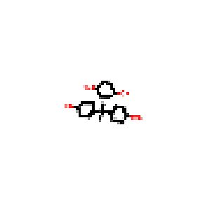 CC(C)(c1ccc(O)cc1)c1ccc(O)cc1.OC1CCC(O)CC1